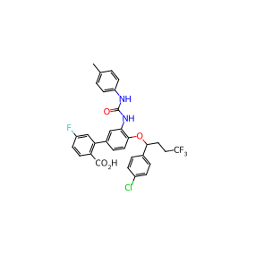 Cc1ccc(NC(=O)Nc2cc(-c3cc(F)ccc3C(=O)O)ccc2OC(CCC(F)(F)F)c2ccc(Cl)cc2)cc1